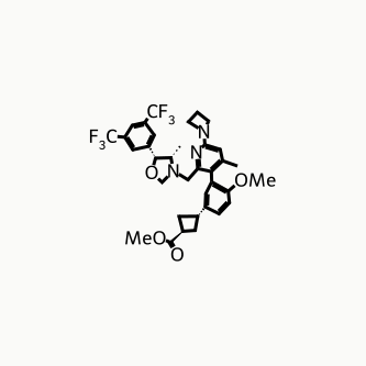 COc1ccc([C@H]2C[C@H](C(=O)OC)C2)cc1-c1c(C)cc(N2CCC2)nc1CN1CO[C@H](c2cc(C(F)(F)F)cc(C(F)(F)F)c2)[C@@H]1C